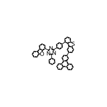 c1ccc(-c2nc(-c3ccc(-c4cccc5sc6ccc(-c7ccc8c9ccccc9c9ccccc9c8c7)cc6c45)cc3)nc(-c3cccc4c3oc3ccccc34)n2)cc1